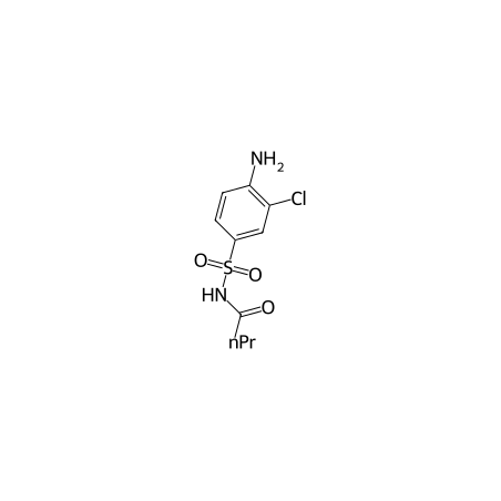 CCCC(=O)NS(=O)(=O)c1ccc(N)c(Cl)c1